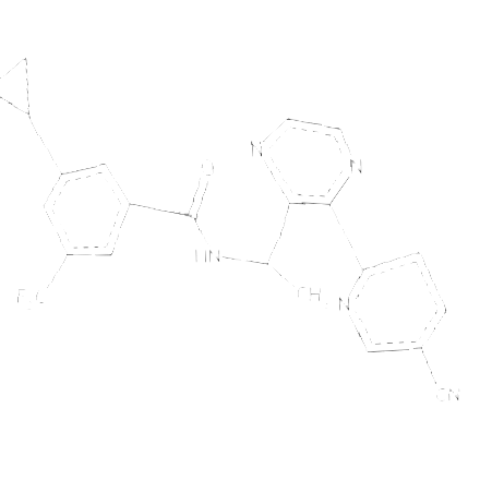 CC(NC(=O)c1cc(C2CC2)cc(C(F)(F)F)c1)c1nccnc1-c1ccc(C#N)cn1